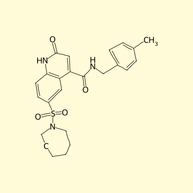 Cc1ccc(CNC(=O)c2cc(=O)[nH]c3ccc(S(=O)(=O)N4CCCCCC4)cc23)cc1